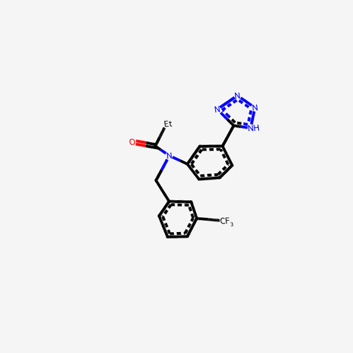 CCC(=O)N(Cc1cccc(C(F)(F)F)c1)c1cccc(-c2nnn[nH]2)c1